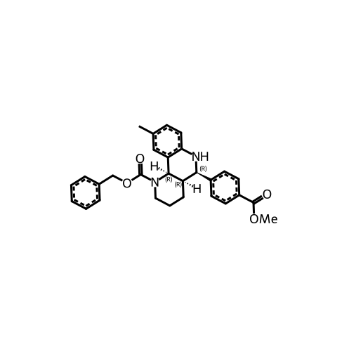 COC(=O)c1ccc([C@@H]2Nc3ccc(C)cc3[C@H]3[C@@H]2CCCN3C(=O)OCc2ccccc2)cc1